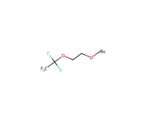 CCC(C)OCCOC(F)(F)C(F)(F)F